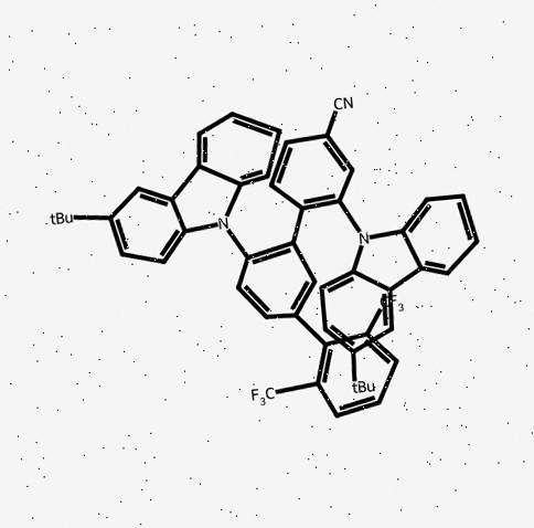 CC(C)(C)c1ccc2c(c1)c1ccccc1n2-c1ccc(-c2c(C(F)(F)F)cccc2C(F)(F)F)cc1-c1ccc(C#N)cc1-n1c2ccccc2c2cc(C(C)(C)C)ccc21